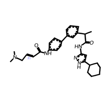 CC(C(=O)Nc1cc(C2CCCCC2)[nH]n1)c1cccc(-c2ccc(NC(=O)/C=C/CN(C)C)cc2)c1